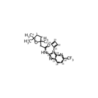 CC1(C)CCC(C)(CC(=O)Nc2nc3ccc(C(F)(F)F)nc3n2C2=CC=C2)O1